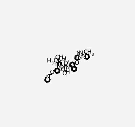 C[C@H]1CCCCN1c1nnc2ccc(O[C@@H]3CC[C@H](NC(=O)N(OC=O)c4cc(C(C)(C)C)nn4-c4cccc(OCCN5CCCCC5)c4)c4ccccc43)cn12